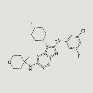 CC1(Nc2ncc3nc(Nc4cc(F)cc(Cl)c4)n([C@H]4CC[C@@H](C)CC4)c3n2)CCOCC1